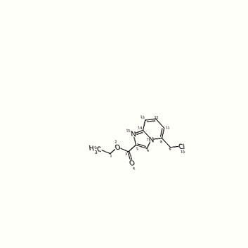 CCOC(=O)c1cn2c(CCl)cccc2n1